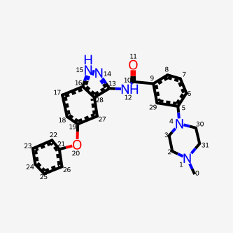 CN1CCN(c2cccc(C(=O)Nc3n[nH]c4ccc(Oc5ccccc5)cc34)c2)CC1